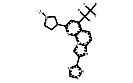 CN1CCC(c2cc(C(F)(F)C(F)(F)F)c3ccc4nc(-c5nnco5)cn4c3n2)C1